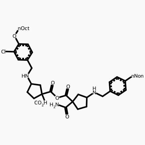 CCCCCCCCCc1ccc(CNC2CCC(C(N)=O)(C(=O)OC(=O)C3(C(=O)O)CCC(NCc4ccc(OCCCCCCCC)c(Cl)c4)C3)C2)cc1